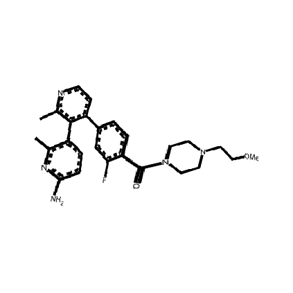 COCCN1CCN(C(=O)c2ccc(-c3ccnc(C)c3-c3ccc(N)nc3C)cc2F)CC1